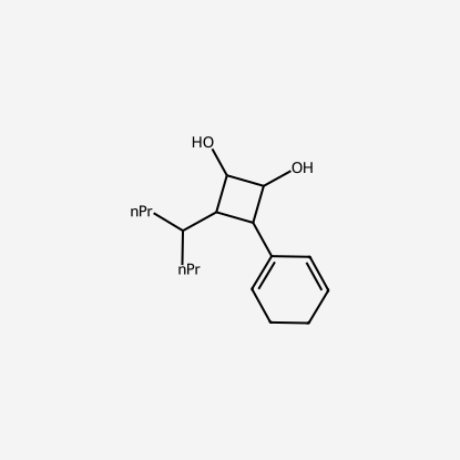 CCCC(CCC)C1C(O)C(O)C1C1=CCCC=C1